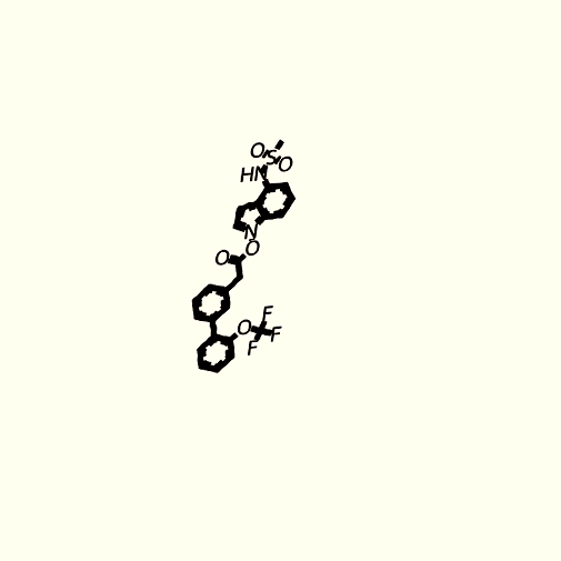 CS(=O)(=O)Nc1cccc2c1ccn2OC(=O)Cc1cccc(-c2ccccc2OC(F)(F)F)c1